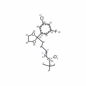 CC(C)(C)[S@@+]([O-])/N=C/CCC1(c2cc(F)cc(Cl)c2)OCCO1